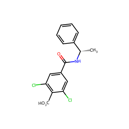 C[C@H](NC(=O)c1cc(Cl)c(C(=O)O)c(Cl)c1)c1ccccc1